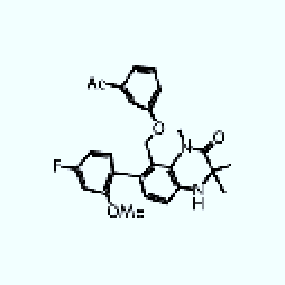 COc1cc(F)ccc1-c1ccc2c(c1COc1cccc(C(C)=O)c1)N(C)C(=O)C(C)(C)N2